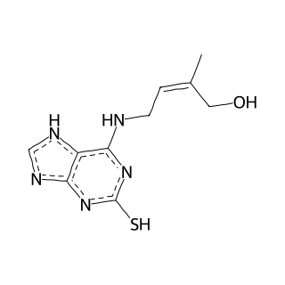 CC(=CCNc1nc(S)nc2nc[nH]c12)CO